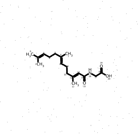 CC(C)=CCCC(C)=CCCC(C)=CC(=O)NCC(=O)O